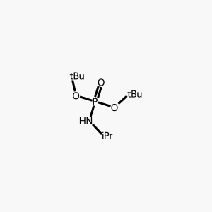 CC(C)NP(=O)(OC(C)(C)C)OC(C)(C)C